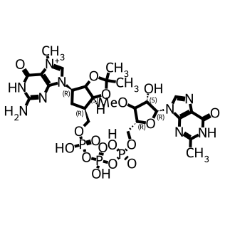 COC1[C@@H](COP(=O)(O)OP(=O)(O)OP(=O)(O)OC[C@H]2C[C@@H](n3c[n+](C)c4c(=O)[nH]c(N)nc43)C3OC(C)(C)O[C@H]32)O[C@@H](n2cnc3c(=O)[nH]c(C)nc32)[C@H]1O